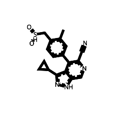 Cc1cc(-c2c(C#N)ncc3[nH]nc(C4CC4)c23)ccc1C[SH](=O)=O